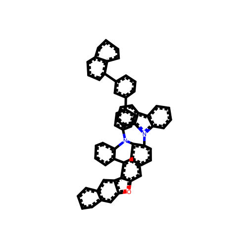 c1cc(-c2ccc(N(c3ccccc3-c3cccc4oc5cc6ccccc6cc5c34)c3ccccc3-n3c4ccccc4c4ccccc43)cc2)cc(-c2cccc3ccccc23)c1